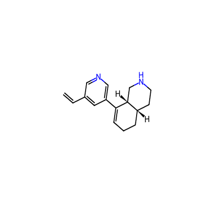 C=Cc1cncc(C2=CCC[C@H]3CCNC[C@@H]23)c1